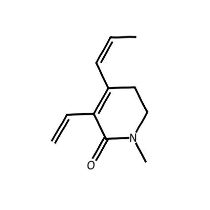 C=CC1=C(/C=C\C)CCN(C)C1=O